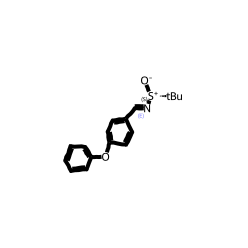 CC(C)(C)[S@@+]([O-])/N=C/c1ccc(Oc2ccccc2)cc1